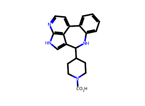 O=C(O)N1CCC(C2Nc3ccccc3-c3ccnc4[nH]cc2c34)CC1